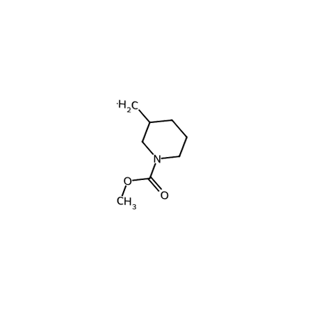 [CH2]C1CCCN(C(=O)OC)C1